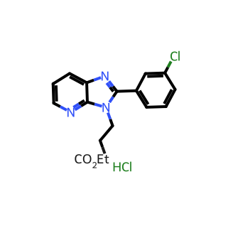 CCOC(=O)CCn1c(-c2cccc(Cl)c2)nc2cccnc21.Cl